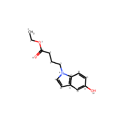 CCOC(=O)CCCn1ccc2cc(O)ccc21